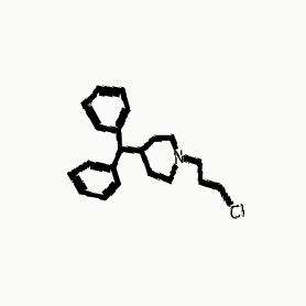 ClCCCN1CCC(C(c2ccccc2)c2ccccc2)CC1